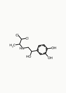 CC(NCC(O)c1ccc(O)c(O)c1)C(Cl)Cl